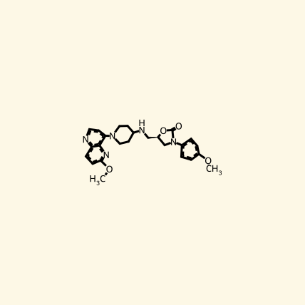 COc1ccc(N2C[C@@H](CNC3CCN(c4ccnc5ccc(OC)nc45)CC3)OC2=O)cc1